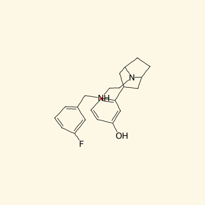 Oc1cccc(C2CC3CCC(C2)N3CCNCc2cccc(F)c2)c1